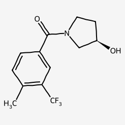 Cc1ccc(C(=O)N2CC[C@@H](O)C2)cc1C(F)(F)F